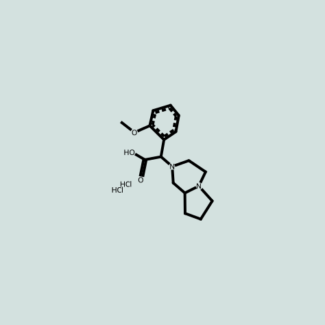 COc1ccccc1C(C(=O)O)N1CCN2CCCC2C1.Cl.Cl